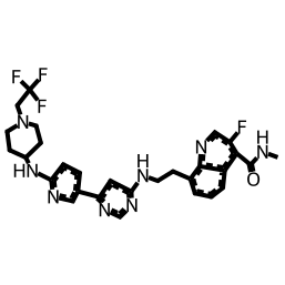 CNC(=O)c1c(F)cnc2c(CCNc3cc(-c4ccc(NC5CCN(CC(F)(F)F)CC5)nc4)ncn3)cccc12